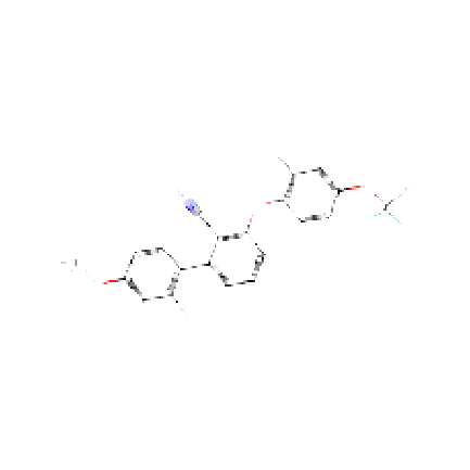 COc1ccc(-c2cccc(Oc3ccc(OC(F)(F)F)cc3Br)c2C#N)c(F)c1